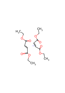 CCOC(=O)/C=C\C(=O)OCC.CCOC(=O)C=CC(=O)OCC